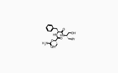 CC(C)C[C@@H](CO)NC(=O)[C@H](Cc1ccccc1)NC(=O)[C@H](CC(C)C)OC(N)=O